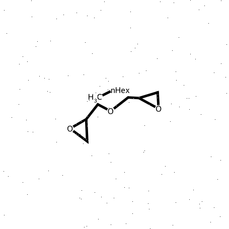 C(OCC1CO1)C1CO1.CCCCCCC